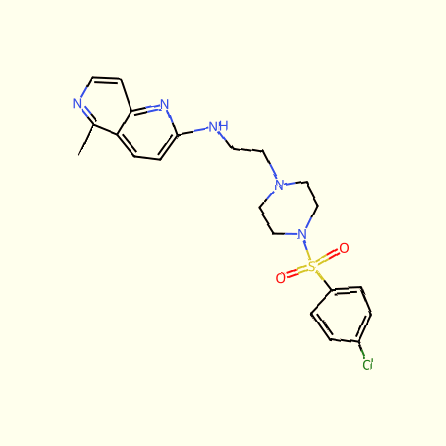 Cc1nccc2nc(NCCN3CCN(S(=O)(=O)c4ccc(Cl)cc4)CC3)ccc12